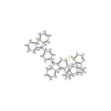 c1ccc2c(c1)Sc1cc3c(cc1C21c2ccccc2-c2ccccc21)c1ccccc1n3-c1ccc(-n2c3ccccc3c3ccccc32)cc1